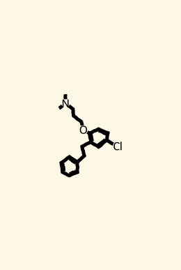 CN(C)CCCOc1ccc(Cl)cc1CCc1ccccc1